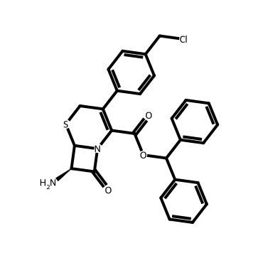 N[C@@H]1C(=O)N2C(C(=O)OC(c3ccccc3)c3ccccc3)=C(c3ccc(CCl)cc3)CSC12